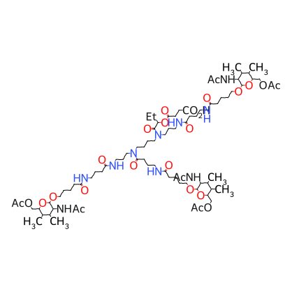 CCC(OC(=O)CCC(=O)O)C(=O)N(CCCCN(CCCNC(=O)CCCNC(=O)CCCCOC1OC(COC(C)=O)C(C)C(C)C1NC(C)=O)C(=O)CCCNC(=O)CCCCOC1OC(COC(C)=O)C(C)C(C)C1NC(C)=O)CCCNC(=O)CCCNC(=O)CCCCOC1OC(COC(C)=O)C(C)C(C)C1NC(C)=O